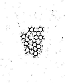 Cc1cccc(N(c2ccccc2)c2cc3c(c4ccccc24)c2c4ccccc4c(N(c4ccccc4)c4cccc(C)c4)cc2n3-c2cc3ccccc3c3ccccc23)c1